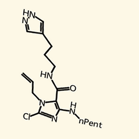 C=CCn1c(Cl)nc(NCCCCC)c1C(=O)NCCCc1cn[nH]c1